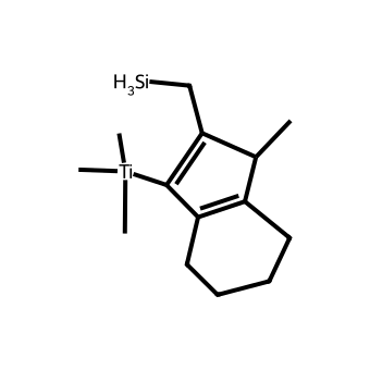 CC1C2=C(CCCC2)[C]([Ti]([CH3])([CH3])[CH3])=C1C[SiH3]